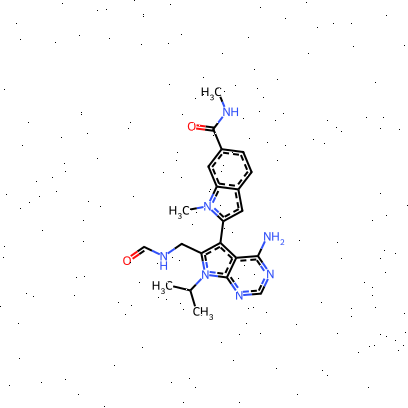 CNC(=O)c1ccc2cc(-c3c(CNC=O)n(C(C)C)c4ncnc(N)c34)n(C)c2c1